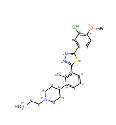 CCc1c(-c2nnc(-c3ccc(OC(C)C)c(Cl)c3)s2)cccc1C1CCN(CCC(=O)O)CC1